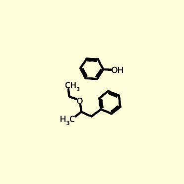 CCOC(C)Cc1ccccc1.Oc1ccccc1